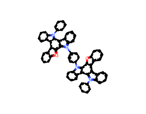 c1ccc(-n2c3ccccc3c3c4c5ccccc5oc4c4c(c5ccccc5n4-c4ccc(-n5c6ccccc6c6c5c5oc7ccccc7c5c5c7ccccc7n(-c7ccccc7)c56)cc4)c32)cc1